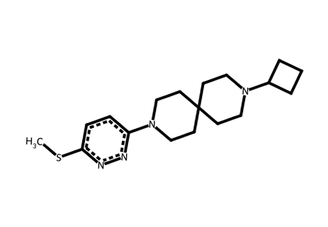 CSc1ccc(N2CCC3(CC2)CCN(C2CCC2)CC3)nn1